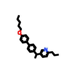 CCCCCOc1ccc(-c2ccc(C(C)c3ccc(CCC)nc3)cc2)cc1